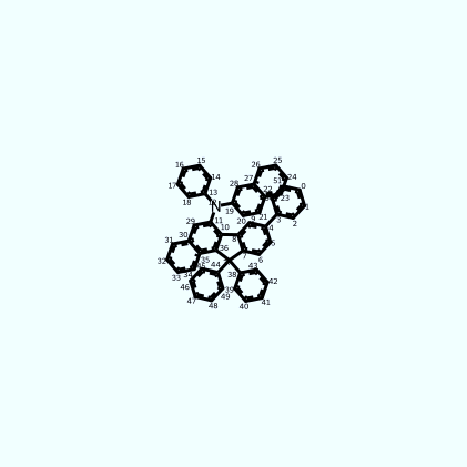 c1ccc(-c2ccc3c(c2)-c2c(N(c4ccccc4)c4ccc5ccccc5c4)cc4ccccc4c2C3(c2ccccc2)c2ccccc2)cc1